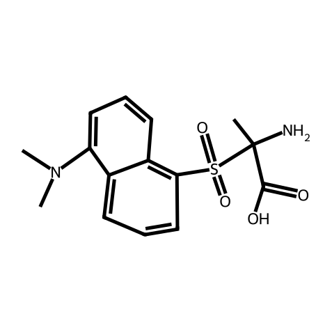 CN(C)c1cccc2c(S(=O)(=O)C(C)(N)C(=O)O)cccc12